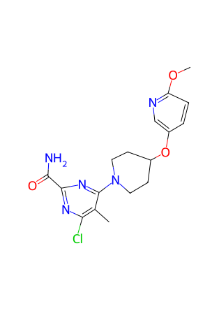 COc1ccc(OC2CCN(c3nc(C(N)=O)nc(Cl)c3C)CC2)cn1